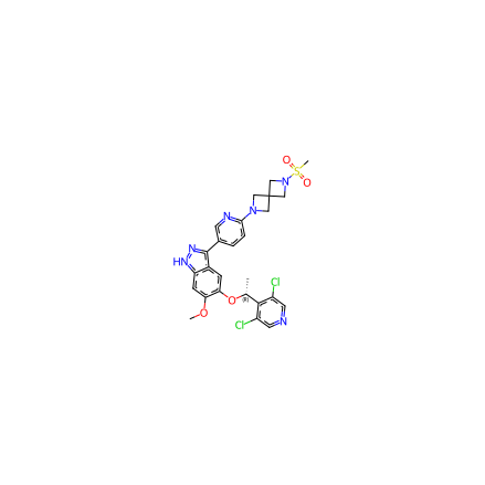 COc1cc2[nH]nc(-c3ccc(N4CC5(C4)CN(S(C)(=O)=O)C5)nc3)c2cc1O[C@H](C)c1c(Cl)cncc1Cl